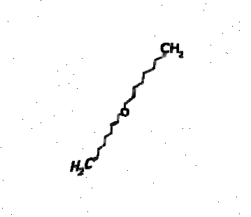 C=CCCCCC=CCOCC=CCCCCC=C